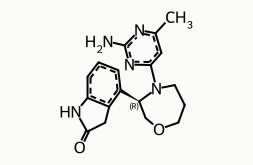 Cc1cc(N2CCCOC[C@H]2c2cccc3c2CC(=O)N3)nc(N)n1